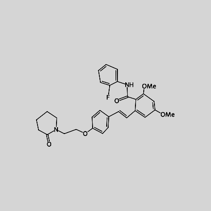 COc1cc(/C=C/c2ccc(OCCN3CCCCC3=O)cc2)c(C(=O)Nc2ccccc2F)c(OC)c1